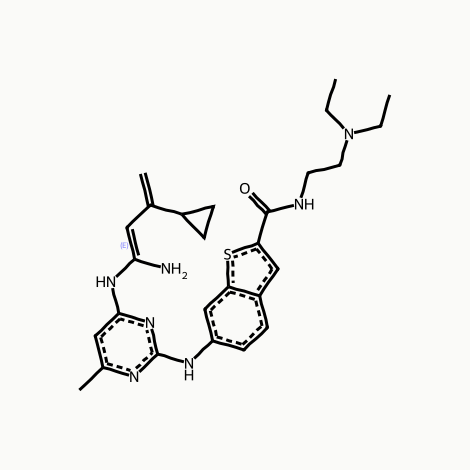 C=C(/C=C(\N)Nc1cc(C)nc(Nc2ccc3cc(C(=O)NCCN(CC)CC)sc3c2)n1)C1CC1